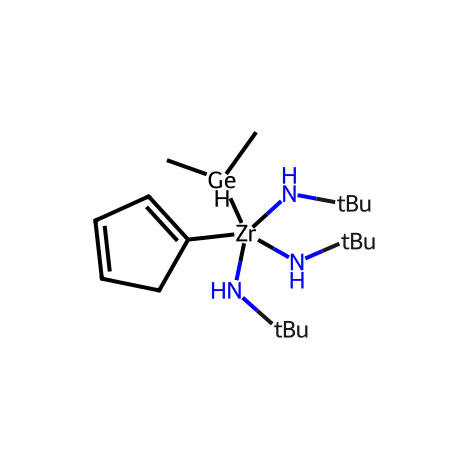 [CH3][GeH]([CH3])[Zr]([NH]C(C)(C)C)([NH]C(C)(C)C)([NH]C(C)(C)C)[C]1=CC=CC1